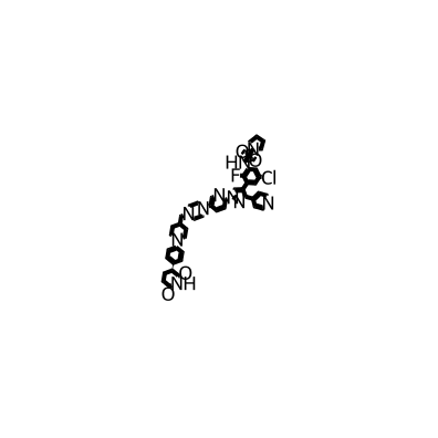 O=C1CC[C@H](c2ccc(N3CCC(CN4CCN(c5ccc(-n6cc(-c7cc(Cl)cc(NS(=O)(=O)N8CCCC8)c7F)c(-c7ccncc7)n6)nc5)CC4)CC3)cc2)C(=O)N1